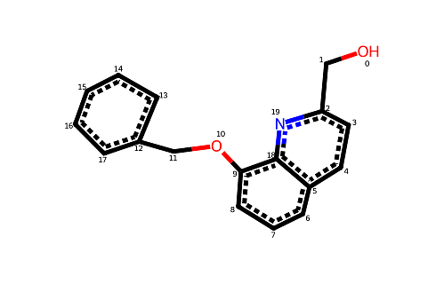 OCc1ccc2cccc(OCc3ccccc3)c2n1